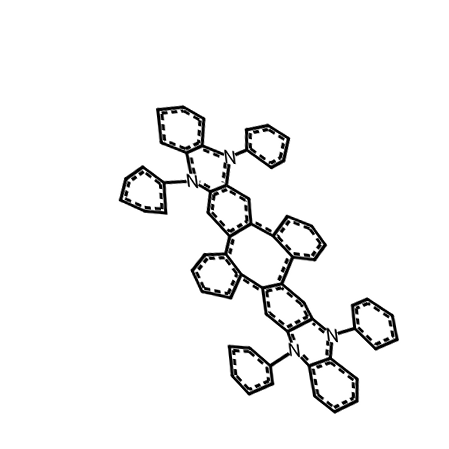 c1ccc(-n2c3ccccc3n(-c3ccccc3)c3cc4c5ccccc5c5cc6c(cc5c5ccccc5c4cc32)n(-c2ccccc2)c2ccccc2n6-c2ccccc2)cc1